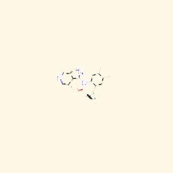 CC#CC(=O)N(c1cc(C)c(I)cc1C1CC1)c1nsc2cnccc12